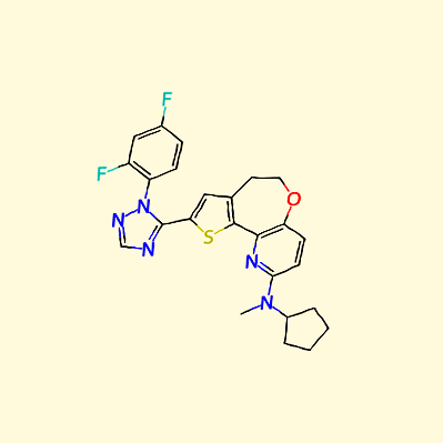 CN(c1ccc2c(n1)-c1sc(-c3ncnn3-c3ccc(F)cc3F)cc1CCO2)C1CCCC1